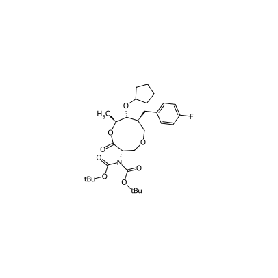 C[C@@H]1OC(=O)[C@@H](N(C(=O)OC(C)(C)C)C(=O)OC(C)(C)C)COC[C@H](Cc2ccc(F)cc2)[C@H]1OC1CCCC1